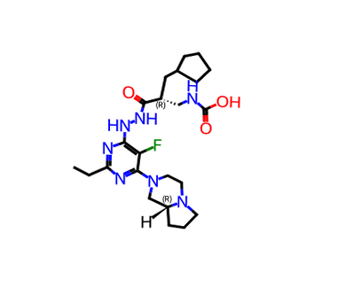 CCc1nc(NNC(=O)[C@@H](CNC(=O)O)CC2CCCC2)c(F)c(N2CCN3CCC[C@@H]3C2)n1